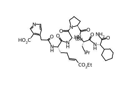 CCOC(=O)/C=C/CC[C@H](NC(=O)Cc1ccncc1C(=O)O)C(=O)N[C@H](C(=O)N1CCC[C@H]1C(=O)N[C@@H](CC(C)C)C(=O)N[C@H](C(N)=O)C1CCCCC1)C(C)(C)C